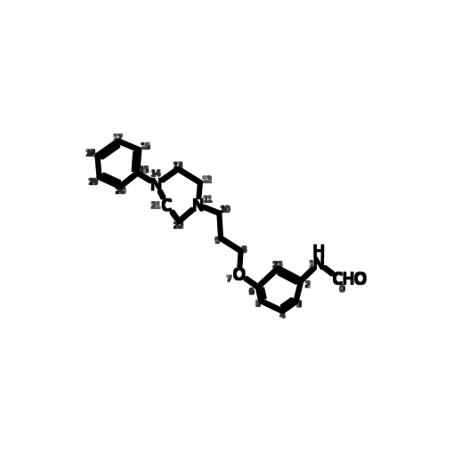 O=CNc1cccc(OCCCN2CCN(c3ccccc3)CC2)c1